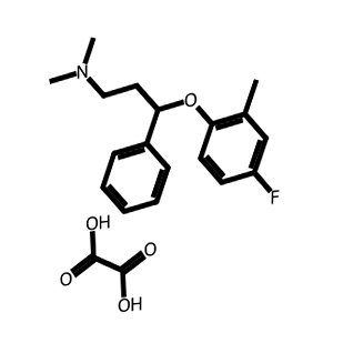 Cc1cc(F)ccc1OC(CCN(C)C)c1ccccc1.O=C(O)C(=O)O